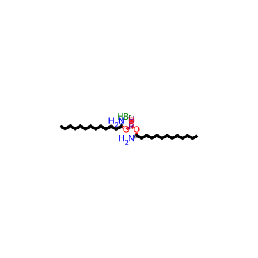 Br.CCCCCCCCCCCC[C@H](N)O[PH](=O)O[C@@H](N)CCCCCCCCCCCC